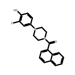 O=C(c1cccc2ccccc12)N1CCN(c2ccc(O)c(Cl)c2)CC1